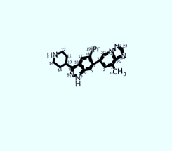 Cc1cc(-c2cc3[nH]nc(C4CCNCC4)c3cc2C(C)C)cn2ncnc12